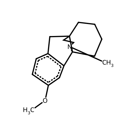 COc1ccc2c(c1)C13CCCCC1(CCN3C)C2